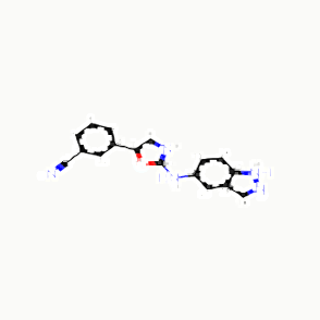 N#Cc1cccc(-c2cnc(Nc3ccc4[nH]ncc4c3)o2)c1